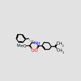 C=C(C)C1CC=C(C(=O)N[C@@H](Cc2ccccc2)C(=O)OC)CC1